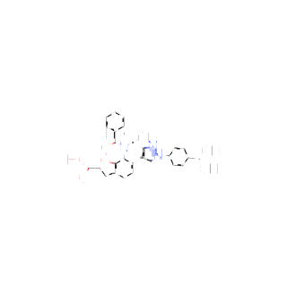 CC(C)c1ccc(-n2cc(-c3ccc4cc(C(=O)O)oc4c3N(C(=O)c3ccccc3)C(C)(C)C)cn2)cc1